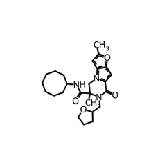 Cc1cc2c(cc3n2CC(C)(C(=O)NC2CCCCCCC2)N(CC2CCCO2)C3=O)o1